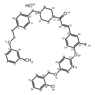 Cc1cccc(OCCc2ccc(CN3CCN(C(=O)/C=C/c4ccc(Oc5ccc(OCc6ccccc6Cl)cn5)c(F)c4)CC3)cc2)c1.Cl